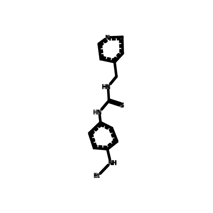 CCNc1ccc(NC(=S)NCc2ccncc2)cc1